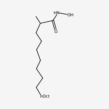 CCCCCCCCCCCCCCCC(C)C(=O)NO